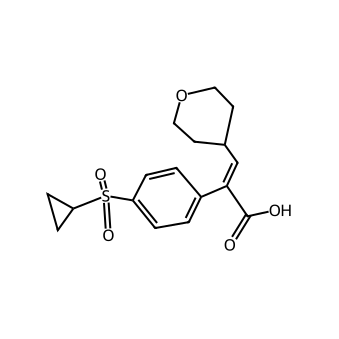 O=C(O)/C(=C/C1CCOCC1)c1ccc(S(=O)(=O)C2CC2)cc1